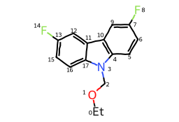 CCOCn1c2ccc(F)cc2c2cc(F)ccc21